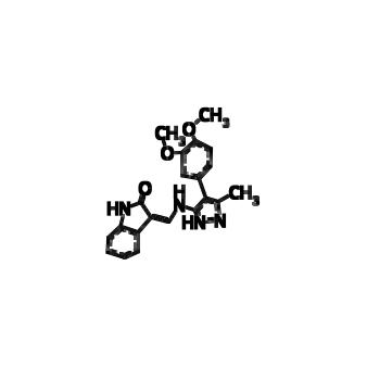 COc1ccc(-c2c(C)n[nH]c2NC=C2C(=O)Nc3ccccc32)cc1OC